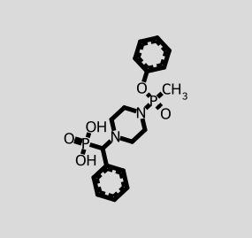 CP(=O)(Oc1ccccc1)N1CCN(C(c2ccccc2)P(=O)(O)O)CC1